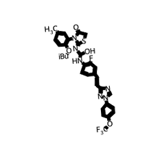 CCC(C)Oc1ccc(C)cc1N1C(=O)CS/C1=N\C(O)Nc1ccc(/C=C/c2ncn(-c3ccc(OC(F)(F)F)cc3)n2)cc1F